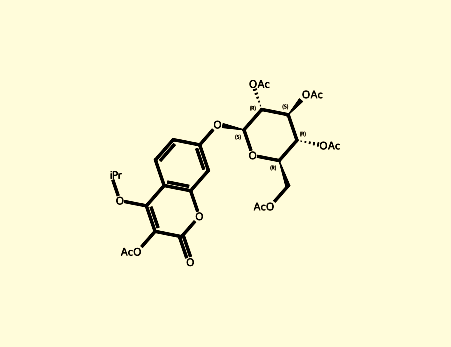 CC(=O)OC[C@H]1O[C@@H](Oc2ccc3c(OC(C)C)c(OC(C)=O)c(=O)oc3c2)[C@H](OC(C)=O)[C@@H](OC(C)=O)[C@@H]1OC(C)=O